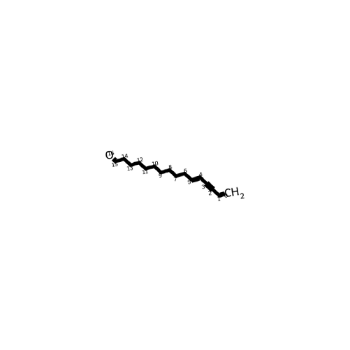 C=CC#CC=CCCCCCCCCCC=O